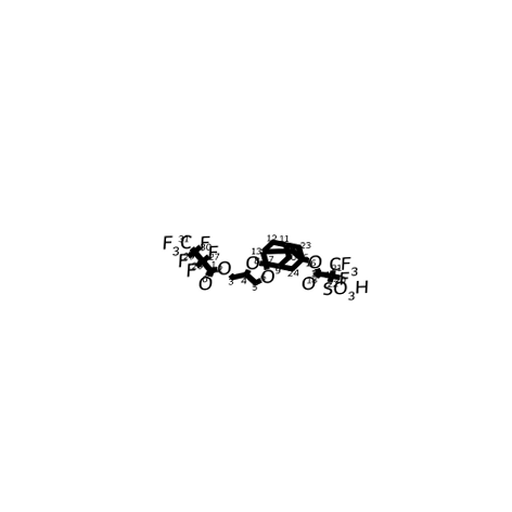 O=C(OCC1COC2(O1)C1CC3CC2CC(OC(=O)C(F)(C(F)(F)F)S(=O)(=O)O)(C3)C1)C(F)(F)C(F)(F)C(F)(F)F